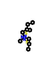 c1ccc(-c2cccc(-c3cc4c5cccc(-c6nc(-c7ccccc7)nc(-c7cccc8c7sc7cc(-c9ccccc9)ccc78)n6)c5sc4c4ccccc34)c2)cc1